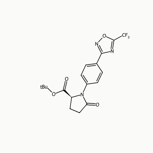 CC(C)(C)OC(=O)[C@@H]1CCC(=O)N1c1ccc(-c2noc(C(F)(F)F)n2)cc1